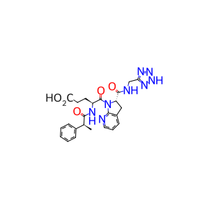 C[C@H](C(=O)N[C@@H](CCC(=O)O)C(=O)N1c2ncccc2C[C@H]1C(=O)NCc1nn[nH]n1)c1ccccc1